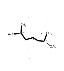 CC(=O)O[C@@H](C)CCC[C@H](C)OC(C)=O